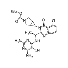 C[C@H](Nc1nc(N)nc(N)c1C#N)c1nc2cccc(Cl)c2c(=O)n1C1C2CN(C(=O)OC(C)(C)C)CC21